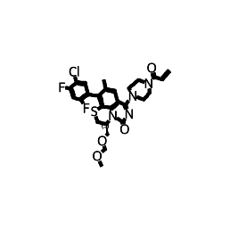 C=CC(=O)N1CCN(c2nc(=O)n3c4c(c(-c5cc(Cl)c(F)cc5F)c(C)cc24)SC[C@@H]3COCOC)CC1